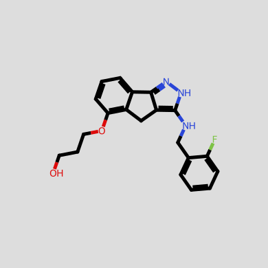 OCCCOc1cccc2c1Cc1c-2n[nH]c1NCc1ccccc1F